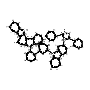 c1ccc(-c2nnc(-c3ccccc3)n2-c2ccc3c4ccccc4n(-c4cccc(-c5ccccc5-n5c6ccccc6c6c7sc8ccccc8c7ccc65)c4)c3c2)cc1